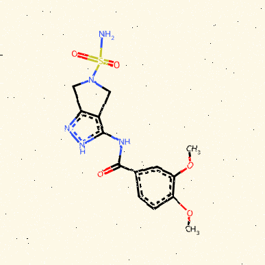 COc1ccc(C(=O)Nc2[nH]nc3c2CN(S(N)(=O)=O)C3)cc1OC